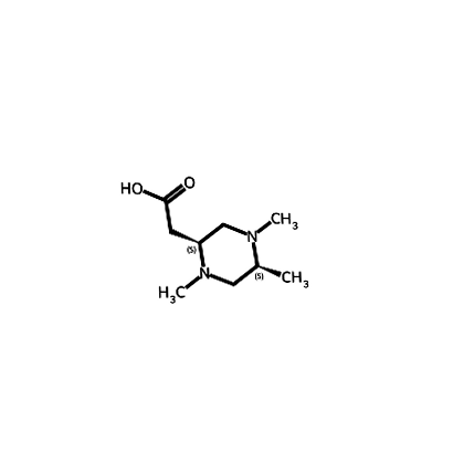 C[C@H]1CN(C)[C@@H](CC(=O)O)CN1C